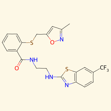 Cc1cc(CSc2ccccc2C(=O)NCCNc2nc3ccc(C(F)(F)F)cc3s2)on1